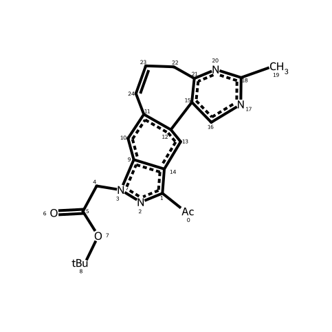 CC(=O)c1nn(CC(=O)OC(C)(C)C)c2cc3c(cc12)-c1cnc(C)nc1CC=C3